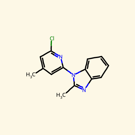 Cc1cc(Cl)nc(-n2c(C)nc3ccccc32)c1